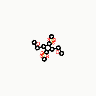 O=S1(=O)c2ccccc2Oc2cc3c(cc21)-c1cc(-c2cccc4c2oc2ccccc24)ccc1-c1cc2c(cc1-c1cc(-c4cccc5c4oc4ccccc45)ccc1-3)S(=O)(=O)c1ccccc1O2